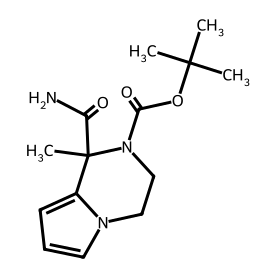 CC(C)(C)OC(=O)N1CCn2cccc2C1(C)C(N)=O